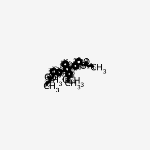 CCCC(=O)OC1CC=Cc2cc(-c3c4ccccc4c(-c4ccc5c(c4)C=CCC5OC(=O)CCC)c4cc(C(C)(C)C)ccc34)ccc21